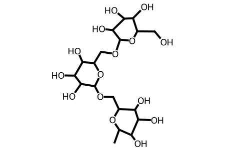 CC1OC(COC2OC(COC3OC(CO)C(O)C(O)C3O)C(O)C(O)C2O)C(O)C(O)C1O